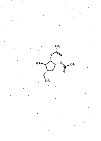 CC[C@H]1O[C@@H](OC(C)=O)[C@@H](OC(C)=O)C1C